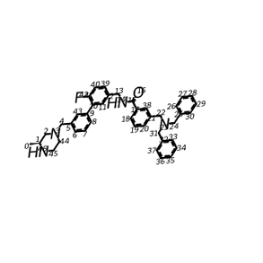 C[C@H]1CN(Cc2cccc(-c3cc(CNC(=O)c4cccc(CN(Cc5ccccc5)Cc5ccccc5)c4)ccc3F)c2)CCN1